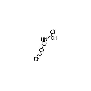 OC(CCNC1CCC(c2ccc(OCc3ccccc3)cc2)CC1)c1ccccc1